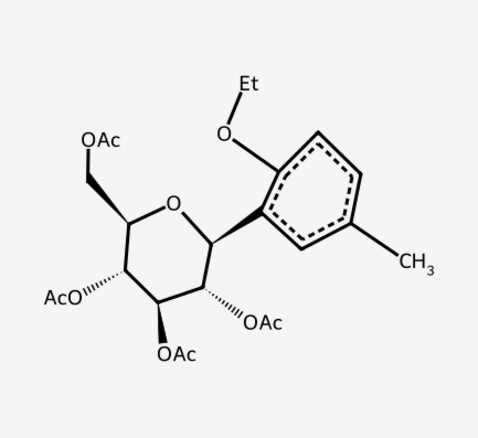 CCOc1ccc(C)cc1[C@@H]1O[C@H](COC(C)=O)[C@@H](OC(C)=O)[C@H](OC(C)=O)[C@H]1OC(C)=O